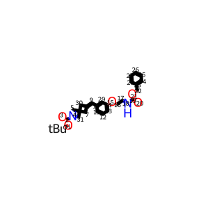 CC(C)(C)OC(=O)N1CC2(CC(=Cc3cccc(OCCNC(=O)OCc4ccccc4)c3)C2)C1